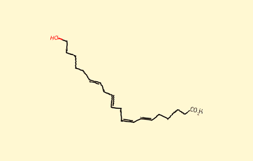 O=C(O)CCCC/C=C/C=C\CC=CCC=CCCCCCO